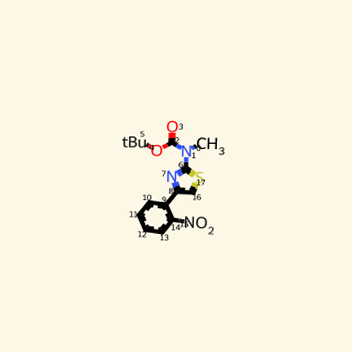 CN(C(=O)OC(C)(C)C)c1nc(-c2ccccc2[N+](=O)[O-])cs1